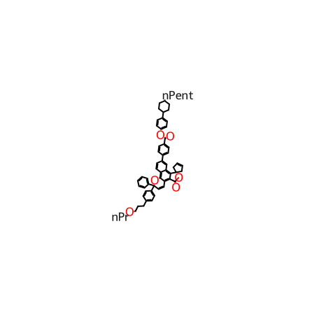 CCCCCC1CCC(c2ccc(OC(=O)c3ccc(-c4ccc5c6c(c7c(c5c4)C4(CC=CC4)OC7=O)C=CC(c4ccccc4)(c4ccc(CCCOCCC)cc4)O6)cc3)cc2)CC1